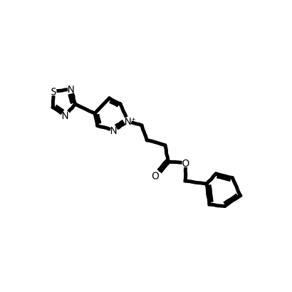 O=C(CCC[n+]1ccc(-c2ncsn2)cn1)OCc1ccccc1